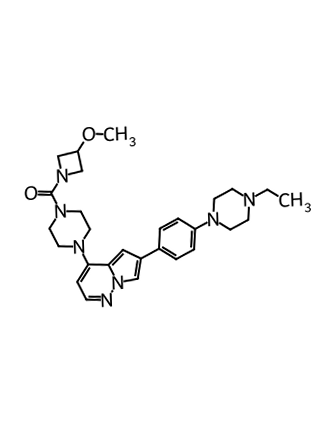 CCN1CCN(c2ccc(-c3cc4c(N5CCN(C(=O)N6CC(OC)C6)CC5)ccnn4c3)cc2)CC1